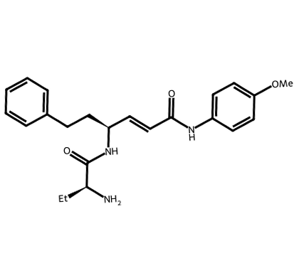 CC[C@H](N)C(=O)N[C@H](C=CC(=O)Nc1ccc(OC)cc1)CCc1ccccc1